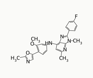 COc1cc(Nc2cc(C)nc3c2nc(-c2ccc(F)cc2)n3C)ccc1-c1cnc(C)o1